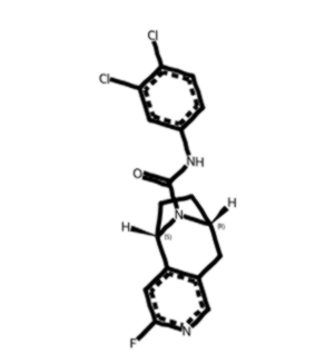 O=C(Nc1ccc(Cl)c(Cl)c1)N1[C@@H]2CC[C@H]1c1cc(F)ncc1C2